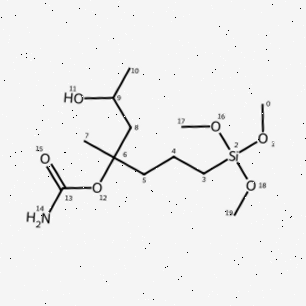 CO[Si](CCCC(C)(CC(C)O)OC(N)=O)(OC)OC